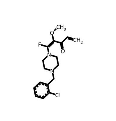 C=CC(=O)/C(OC)=C(/F)N1CCN(Cc2ccccc2Cl)CC1